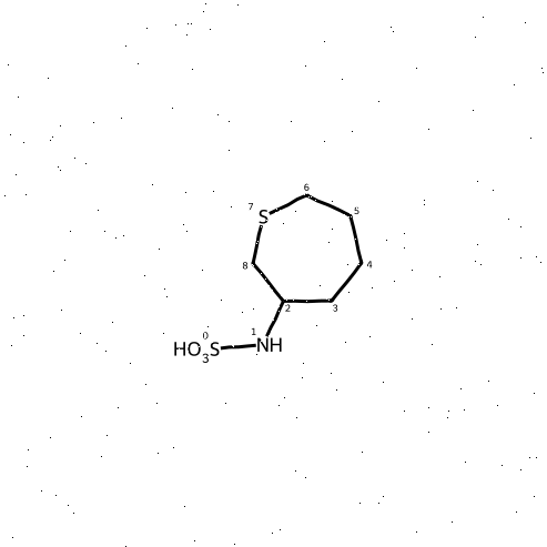 O=S(=O)(O)NC1CCCCSC1